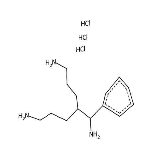 Cl.Cl.Cl.NCCCC(CCCN)C(N)c1ccccc1